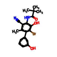 Cc1c(C#N)c(NC(=O)C(C)(C)C)c(O)c(Br)c1-c1cccc(O)c1